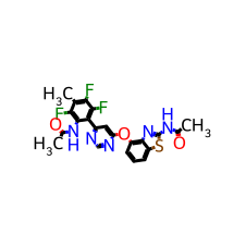 CC(=O)Nc1nc2c(Oc3cc(-c4c(F)c(F)c(C)c(F)c4NC(C)=O)ncn3)cccc2s1